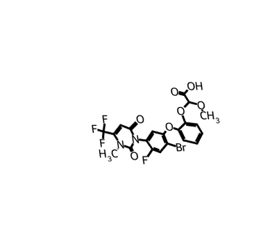 COC(Oc1ccccc1Oc1cc(-n2c(=O)cc(C(F)(F)F)n(C)c2=O)c(F)cc1Br)C(=O)O